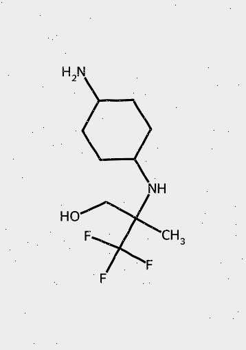 CC(CO)(NC1CCC(N)CC1)C(F)(F)F